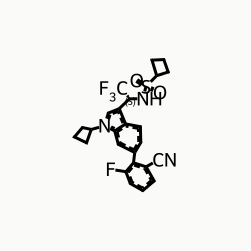 N#Cc1cccc(F)c1-c1ccc2c([C@H](NS(=O)(=O)C3CCC3)C(F)(F)F)cn(C3CCC3)c2c1